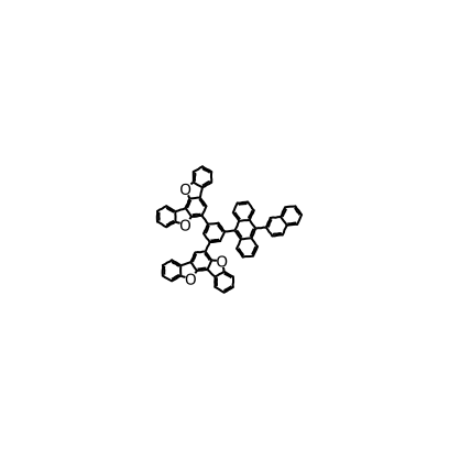 c1ccc2cc(-c3c4ccccc4c(-c4cc(-c5cc6c7ccccc7oc6c6c5oc5ccccc56)cc(-c5cc6c7ccccc7oc6c6c5oc5ccccc56)c4)c4ccccc34)ccc2c1